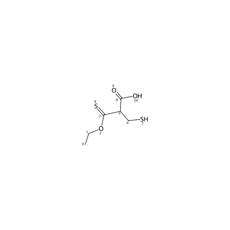 CCOC(=S)C(CS)C(=O)O